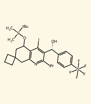 CC(C)c1nc2c(c(I)c1[C@H](O)c1ccc(S(F)(F)(F)(F)F)cc1)C(O[Si](C)(C)C(C)(C)C)CC1(CCC1)C2